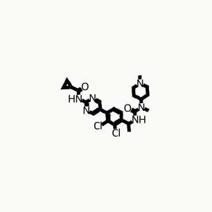 CC(NC(=O)N(C)C1CCN(C)CC1)c1ccc(-c2cnc(NC(=O)C3CC3)nc2)c(Cl)c1Cl